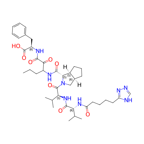 CCCC(NC(=O)[C@@H]1[C@H]2CCC[C@H]2CN1C(=O)[C@@H](NC(=O)[C@H](NC(=O)CCCCc1nnc[nH]1)C(C)C)C(C)C)C(=O)C(=O)N[C@H](Cc1ccccc1)C(=O)O